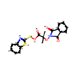 CC(C)(ON1C(=O)c2ccccc2C1=O)C(=O)OSc1nc2ccccc2s1